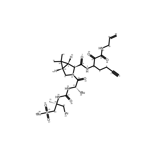 C#CCCC(NC(=O)[C@@H]1[C@@H]2[C@H](CN1C(=O)[C@@H](NC(=O)N[C@@](C)(CC(C)C)CS(=O)(=O)C(C)(C)C)C(C)(C)C)C2(C)C)C(=O)C(=O)NCC=C